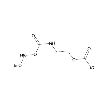 CCC(=O)OCCNC(=O)OBOC(C)=O